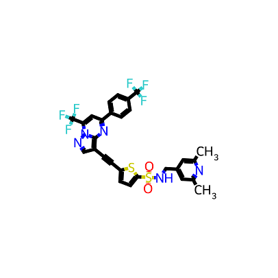 Cc1cc(CNS(=O)(=O)c2ccc(C#Cc3cnn4c(C(F)(F)F)cc(-c5ccc(C(F)(F)F)cc5)nc34)s2)cc(C)n1